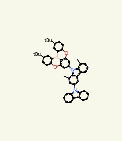 Cc1cccc2c3cc(-n4c5ccccc5c5ccccc54)cc(C)c3n(-c3cc4c5c(c3)Oc3ccc(C(C)(C)C)cc3B5c3cc(C(C)(C)C)ccc3O4)c12